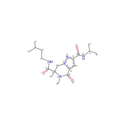 CC(C)CCNC(=O)C1(C)Cn2nc(C(=O)NC(C)C)cc2C(=O)N1C